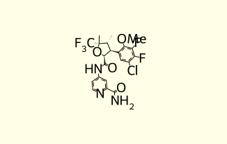 COc1c([C@H]2[C@@H](C(=O)Nc3ccnc(C(N)=O)c3)O[C@](C)(C(F)(F)F)[C@@H]2C)cc(Cl)c(F)c1F